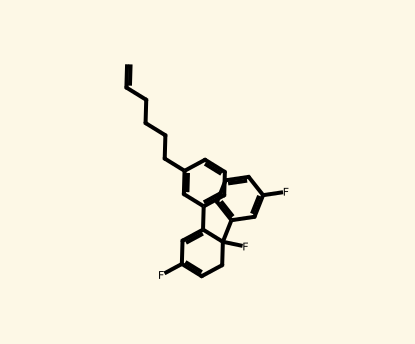 C=CCCCCc1cccc(C2=CC(F)=CCC2(F)c2cccc(F)c2)c1